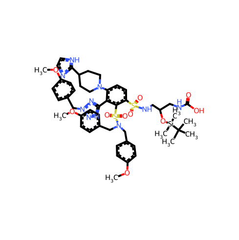 COc1ccc(CN(Cc2ccc(OC)cc2)S(=O)(=O)c2c(S(=O)(=O)NCC(CNC(=O)O)O[Si](C)(C)C(C)(C)C)ccc(N3CCC(c4ncc[nH]4)CC3)c2-c2nnn(Cc3ccc(OC)cc3)n2)cc1